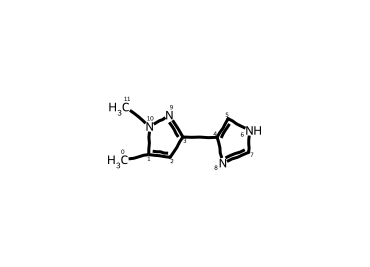 Cc1cc(-c2c[nH]cn2)nn1C